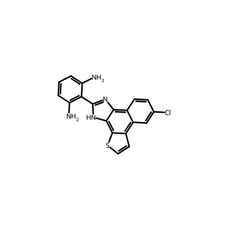 Nc1cccc(N)c1-c1nc2c3ccc(Cl)cc3c3ccsc3c2[nH]1